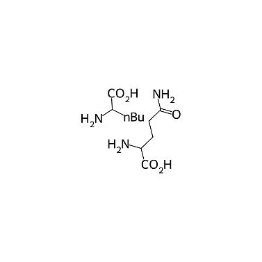 CCCCC(N)C(=O)O.NC(=O)CCC(N)C(=O)O